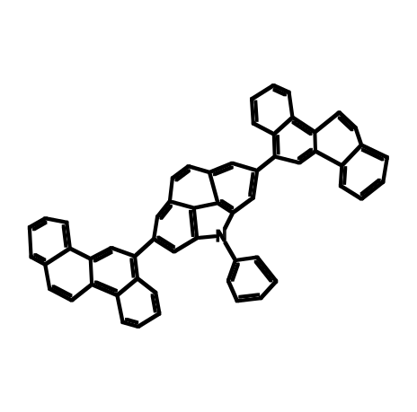 c1ccc(-n2c3cc(-c4cc5c6ccccc6ccc5c5ccccc45)cc4ccc5cc(-c6cc7c8ccccc8ccc7c7ccccc67)cc2c5c43)cc1